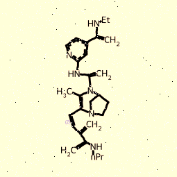 C=C(/C=C\C1=C(C)N(C(=C)Nc2cc(C(=C)NCC)ccn2)C2CCN1C2)C(=C)NCCC